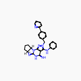 N=C1NC2=N[C@@H]3CCC[C@@H]3N2c2nn(Cc3ccc(-c4ccccn4)cc3)c(Nc3ccccc3)c21